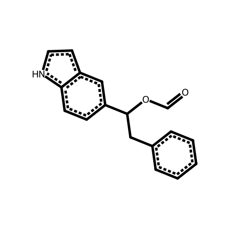 O=COC(Cc1ccccc1)c1ccc2[nH]ccc2c1